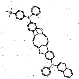 CC1/C2=C\C=C3/C/C(=C\C=C/1c1ccc(N(c4ccccc4)c4ccc([Si](C)(C)C)cc4)cc1O2)Oc1cc(N(C2=CCC4C=CC=CC4=C2)c2ccccc2)ccc13